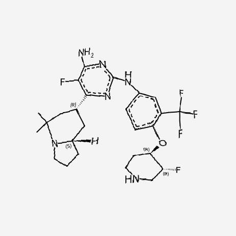 CC1(C)C[C@H](c2nc(Nc3ccc(O[C@@H]4CCNC[C@H]4F)c(C(F)(F)F)c3)nc(N)c2F)C[C@@H]2CCCN21